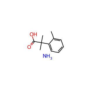 Cc1ccccc1C(C)(C)C(=O)O.N